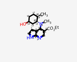 CCOC(=O)c1cnc2[nH]ccc2c1N(C)[C@@H]1CC(O)CC[C@H]1C